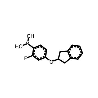 OB(O)c1ccc(OC2Cc3ccccc3C2)cc1F